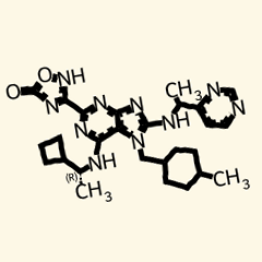 CC1CCC(Cn2c(NC(C)c3ccncn3)nc3nc(-c4nc(=O)o[nH]4)nc(N[C@H](C)C4CCC4)c32)CC1